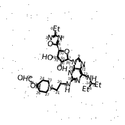 CCc1noc([C@H]2O[C@@H](n3cnc4c(NC(CC)CC)nc(NCCN5CCCCC5)nc43)[C@H](O)[C@@H]2O)n1.O=CO